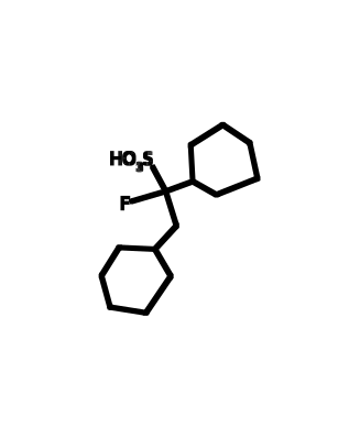 O=S(=O)(O)C(F)(CC1CCCCC1)C1CCCCC1